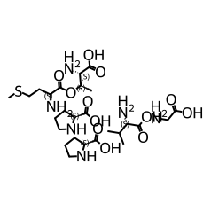 CC(C)[C@H](N)C(=O)O.CSCC[C@H](N)C(=O)O[C@H](C)[C@H](N)C(=O)O.NCC(=O)O.O=C(O)[C@@H]1CCCN1.O=C(O)[C@@H]1CCCN1